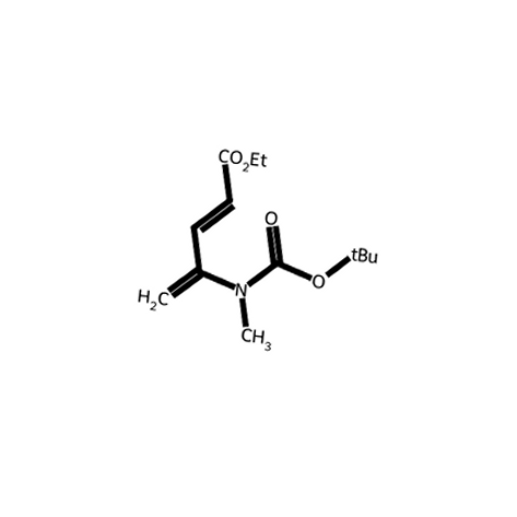 C=C(/C=C/C(=O)OCC)N(C)C(=O)OC(C)(C)C